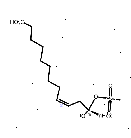 CCCCCC[C@@](O)(C/C=C\CCCCCCCC(=O)O)OS(C)(=O)=O